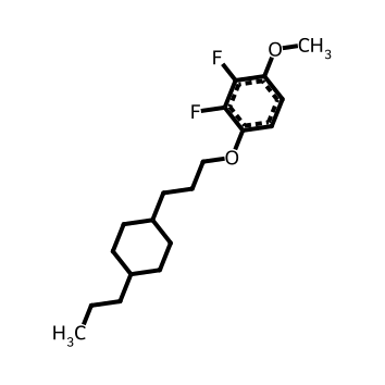 CCCC1CCC(CCCOc2ccc(OC)c(F)c2F)CC1